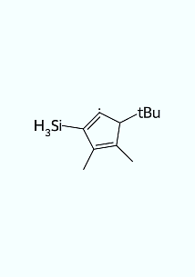 CC1=C(C)C(C(C)(C)C)[C]=C1[SiH3]